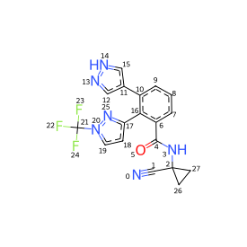 N#CC1(NC(=O)c2cccc(-c3cn[nH]c3)c2-c2ccn(C(F)(F)F)n2)CC1